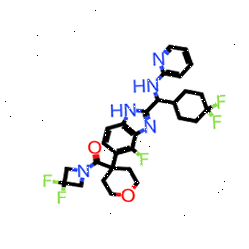 O=C(N1CC(F)(F)C1)C1(c2ccc3[nH]c(C(Nc4ccccn4)C4CCC(F)(F)CC4)nc3c2F)CCOCC1